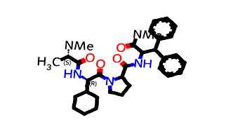 CNC(=O)C(NC(=O)C1CCCN1C(=O)[C@H](NC(=O)[C@H](C)NC)C1CCCCC1)C(c1ccccc1)c1ccccc1